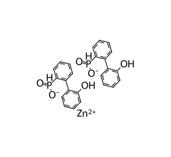 O=[PH]([O-])c1ccccc1-c1ccccc1O.O=[PH]([O-])c1ccccc1-c1ccccc1O.[Zn+2]